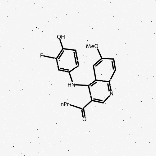 CCCC(=O)c1cnc2ccc(OC)cc2c1Nc1ccc(O)c(F)c1